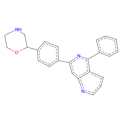 c1ccc(-c2nc(-c3ccc(C4CNCCO4)cc3)cc3ncccc23)cc1